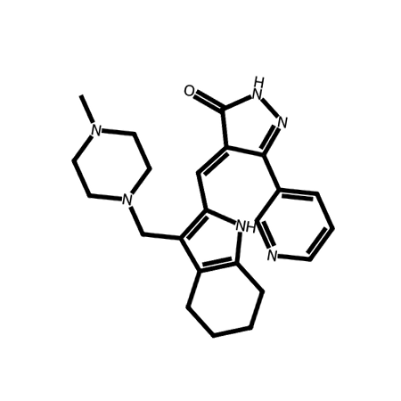 CN1CCN(Cc2c(/C=C3/C(=O)NN=C3c3cccnc3)[nH]c3c2CCCC3)CC1